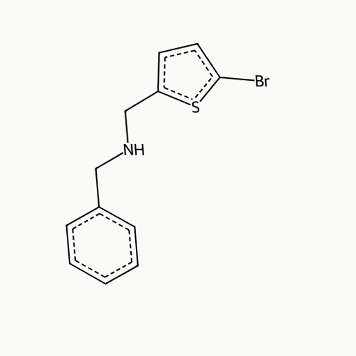 Brc1ccc(CNCc2ccccc2)s1